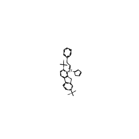 CC(C)(C)c1ccc2c(c1)Cc1c-2ccc(C(C)(C)C)[c]1/[Zr](=[CH]\Cc1ccccc1)[C]1=CC=CC1